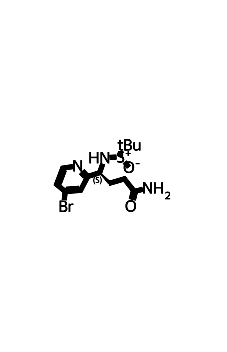 CC(C)(C)[S+]([O-])N[C@@H](CCC(N)=O)c1cc(Br)ccn1